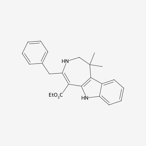 CCOC(=O)C1=C(Cc2ccccc2)NCC(C)(C)c2c1[nH]c1ccccc21